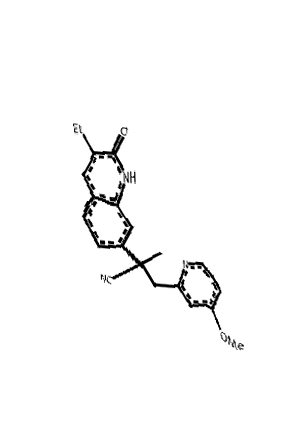 CCc1cc2ccc(C(C)(C#N)Cc3cc(OC)ccn3)cc2[nH]c1=O